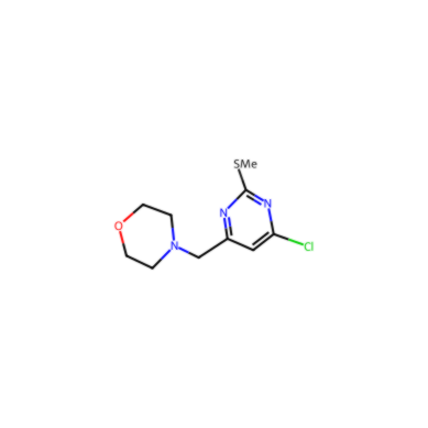 CSc1nc(Cl)cc(CN2CCOCC2)n1